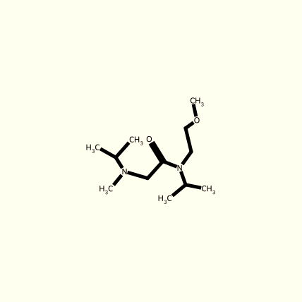 COCCN(C(=O)CN(C)C(C)C)C(C)C